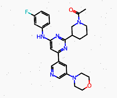 CC(=O)N1CCCC(c2nc(Nc3cccc(F)c3)cc(-c3cncc(N4CCOCC4)c3)n2)C1